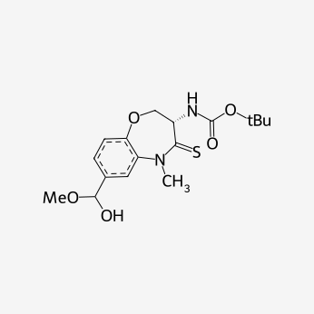 COC(O)c1ccc2c(c1)N(C)C(=S)[C@@H](NC(=O)OC(C)(C)C)CO2